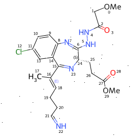 COCC(=O)NNC1=Nc2ccc(Cl)cc2C(/C(C)=C/CCC=N)=N[C@H]1CCC(=O)OC